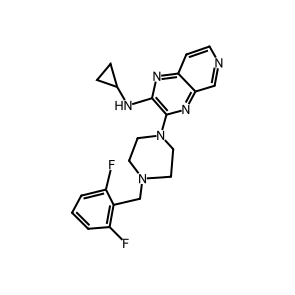 Fc1cccc(F)c1CN1CCN(c2nc3cnccc3nc2NC2CC2)CC1